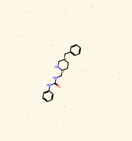 O=C(NC[C@@H]1CC[C@H](Cc2ccccc2)CN1)Nc1ccccc1